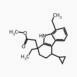 CCc1cccc2c3c([nH]c12)C(CC)(CC(=O)OC)CCC3C1CC1